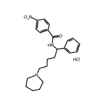 Cl.O=C(NC(CCCCN1CCCCC1)c1ccccc1)c1ccc([N+](=O)[O-])cc1